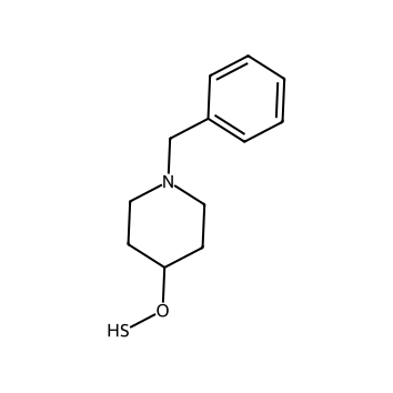 SOC1CCN(Cc2ccccc2)CC1